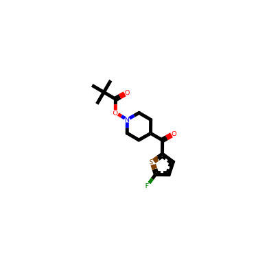 CC(C)(C)C(=O)ON1CCC(C(=O)c2ccc(F)s2)CC1